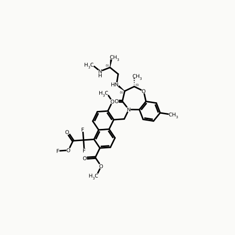 CN[C@@H](C)CN[C@@H]1C(=O)N(Cc2c(OC)ccc3c(C(F)(F)C(=O)OF)c(C(=O)OC)ccc23)c2ccc(C)cc2O[C@H]1C